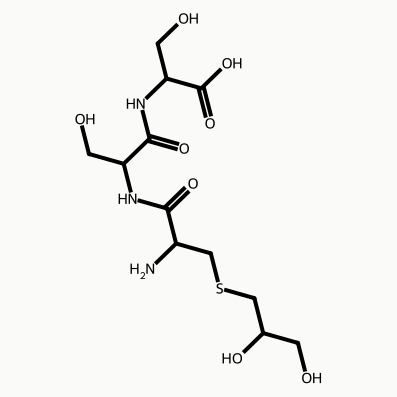 NC(CSCC(O)CO)C(=O)NC(CO)C(=O)NC(CO)C(=O)O